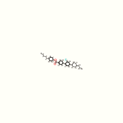 CCCCCc1ccc(OC(=O)c2ccc(-c3ccc([C@H]4CC[C@H](CCC)CC4)cc3F)cc2)cc1